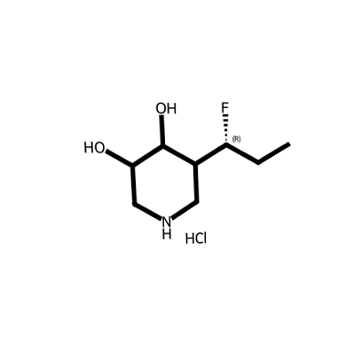 CC[C@@H](F)C1CNCC(O)C1O.Cl